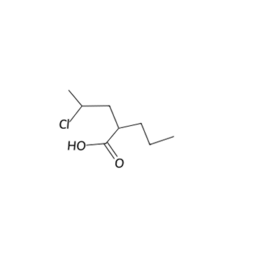 CCCC(CC(C)Cl)C(=O)O